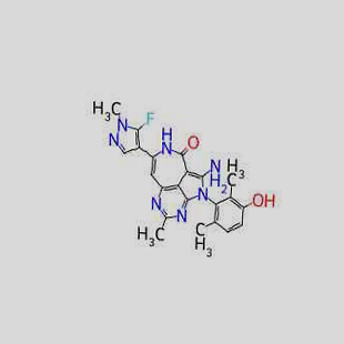 Cc1nc2c3c(c(N)n(-c4c(C)ccc(O)c4C)c3n1)C(=O)NC(c1cnn(C)c1F)=C2